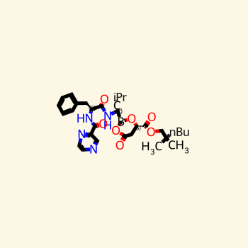 CCCCC(C)(C)COC(=O)[C@@H]1CC(=O)OB([C@H](CC(C)C)NC(=O)[C@H](Cc2ccccc2)NC(=O)c2cnccn2)O1